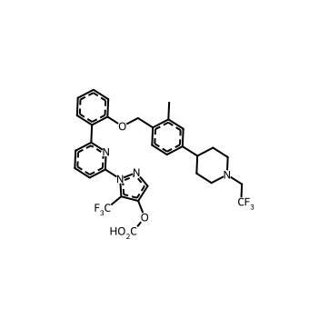 Cc1cc(C2CCN(CC(F)(F)F)CC2)ccc1COc1ccccc1-c1cccc(-n2ncc(OC(=O)O)c2C(F)(F)F)n1